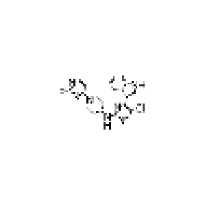 Fc1nccc(N2CCC(Nc3ncc(Cl)c(-c4c[nH]c5ccccc45)n3)CC2)n1